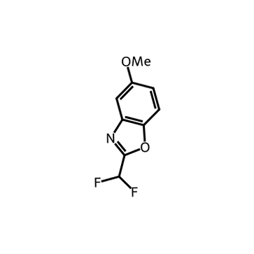 COc1ccc2oc(C(F)F)nc2c1